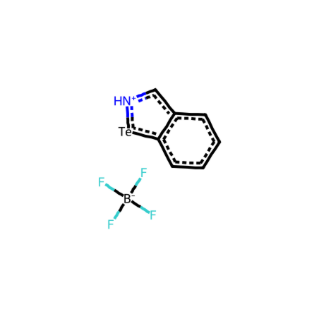 F[B-](F)(F)F.c1ccc2[te][nH+]cc2c1